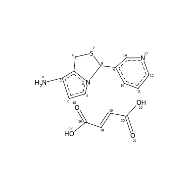 Nc1ccn2c1CSC2c1cccnc1.O=C(O)C=CC(=O)O